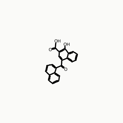 O=C(O)c1cc(C(=O)c2cccc3ccccc23)c2ccccc2c1O